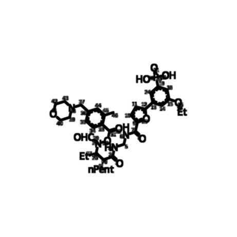 CCCCC[C@@H](C(=O)NCNC(=O)c1ccc(-c2cc(OCC)cc(P(=O)(O)O)c2)o1)[C@@H](CC)N(C=O)OC(=O)c1ccc(CN2CCOCC2)cc1C